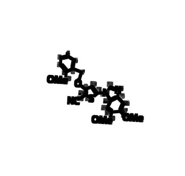 COc1ccccc1COc1cc(-n2cnc3cc(OC)c(OC)cc32)sc1C#N